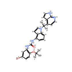 [2H]C([2H])([2H])Oc1ccc(Br)cc1NC(=O)Nc1cccc2c1ccn2C([2H])([2H])c1ccnc2[nH]ccc12